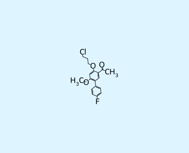 COc1cc(OCCCCl)c(C(C)=O)cc1-c1ccc(F)cc1